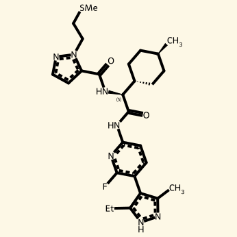 CCc1[nH]nc(C)c1-c1ccc(NC(=O)[C@@H](NC(=O)c2ccnn2CCSC)[C@H]2CC[C@H](C)CC2)nc1F